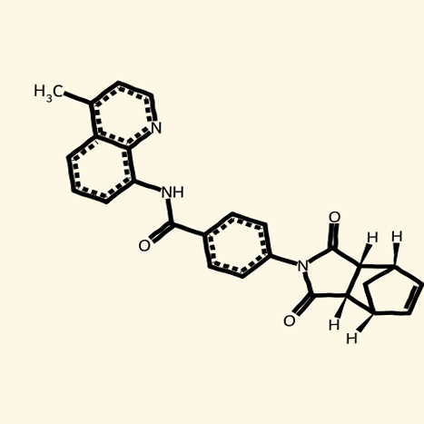 Cc1ccnc2c(NC(=O)c3ccc(N4C(=O)[C@@H]5[C@H](C4=O)[C@@H]4C=C[C@H]5C4)cc3)cccc12